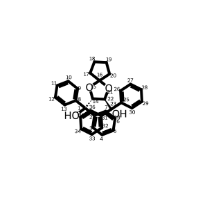 OC(c1ccccc1)(c1ccccc1)[C@@H]1OC2(CCCC2)O[C@H]1C(O)(c1ccccc1)c1ccccc1